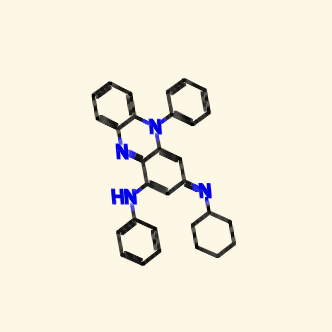 c1ccc(Nc2cc(=NC3CCCCC3)cc3n(-c4ccccc4)c4ccccc4nc2-3)cc1